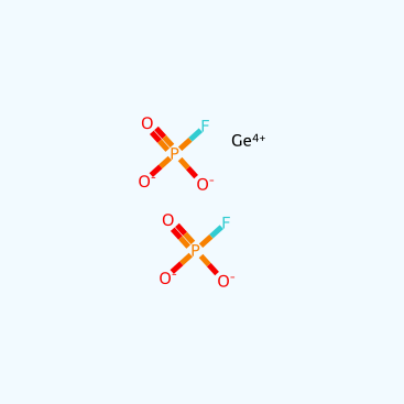 O=P([O-])([O-])F.O=P([O-])([O-])F.[Ge+4]